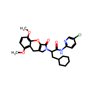 COc1ccc(OC)c2c1CC1=C(O2)C(=O)N(C(CC2CCCCC2)C(=O)Nc2ccc(Cl)cn2)C1